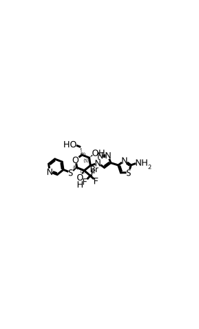 Nc1nc(-c2cn(C3(Br)[C@@H](O)[C@@H](CO)O[C@H](Sc4cccnc4)[C@@]3(O)C(F)(F)F)nn2)cs1